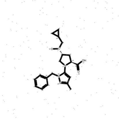 Cc1cc(N2C[C@H]([S+]([O-])CC3CC3)C[C@H]2C(=O)O)n(Cc2ccccc2)n1